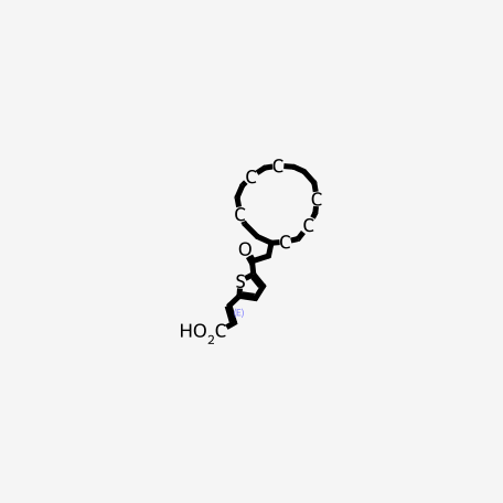 O=C(O)/C=C/c1ccc(C(=O)CC2CCCCCCCCCCCCCCCC2)s1